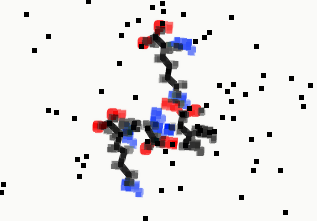 CC(C)[C@H](N)C(=O)O.C[C@H](N)C(=O)O.NCCCC[C@H](N)C(=O)O.NCCCC[C@H](N)C(=O)O